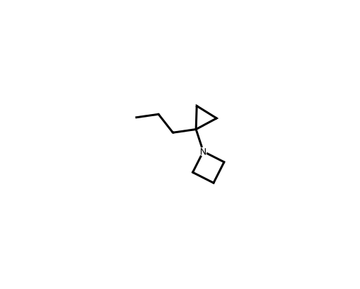 CCCC1(N2CCC2)CC1